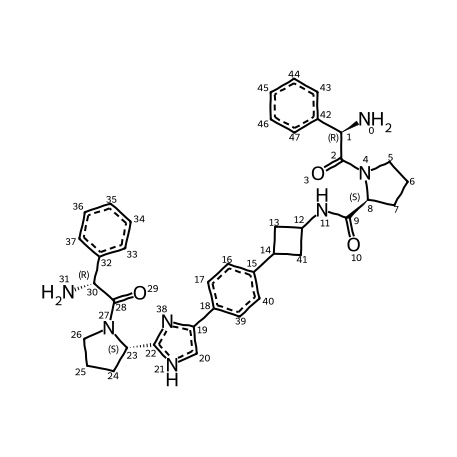 N[C@@H](C(=O)N1CCC[C@H]1C(=O)NC1CC(c2ccc(-c3c[nH]c([C@@H]4CCCN4C(=O)[C@H](N)c4ccccc4)n3)cc2)C1)c1ccccc1